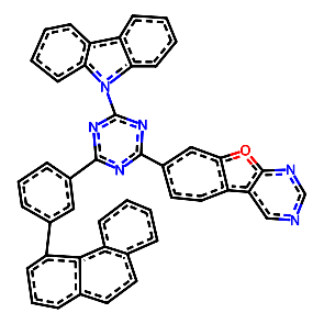 c1cc(-c2nc(-c3ccc4c(c3)oc3ncncc34)nc(-n3c4ccccc4c4ccccc43)n2)cc(-c2cccc3ccc4ccccc4c23)c1